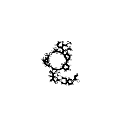 C=CC(=O)N1CCC2(CCN(C(=O)N(C)C(I)(C(=O)N[C@H]3Cc4cccc(c4)-c4ccc5c(c4)c(c(-c4cccnc4[C@H](C)OC)n5CC)CC(C)(C)COC(=O)[C@@H]4CCCN(NC4CC)C3=O)C(C)C)CC2)C1